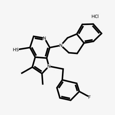 Cc1c(C)n(Cc2cccc(F)c2)c2c(N3CCc4ccccc4C3)ncc(S)c12.Cl